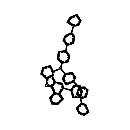 c1ccc(-c2ccc(-c3ccc(N(c4ccc(-c5ccccc5)cc4)c4cccc5oc6c7ccccc7c(-c7cccc(-c8ccccc8)c7)cc6c45)cc3)cc2)cc1